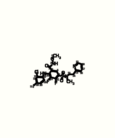 CONC(=O)c1cc(S(=O)(=O)N(C)CCc2ccccn2)c(F)c(F)c1Nc1ccc(I)cc1Cl